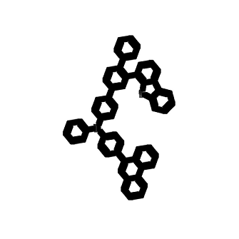 c1ccc(-c2ccc(-c3ccc(N(c4ccccc4)c4ccc(-c5cc6ccccc6c6ccccc56)cc4)cc3)cc2-c2cccc3c2sc2ccccc23)cc1